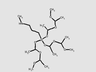 CNCCC[Si](OC(C)OC(C)OC)(OC(C)OC(C)OC)OC(C)OC(C)OC